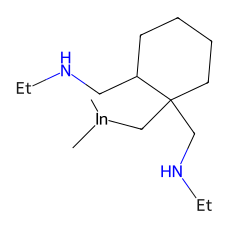 CCNCC1CCCCC1(CNCC)[CH2][In]([CH3])[CH3]